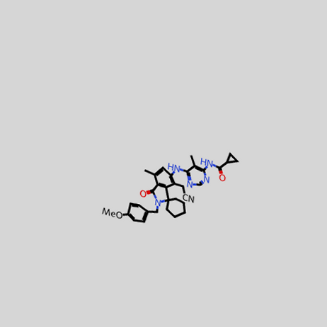 COc1ccc(CN2C(=O)c3c(C)cc(Nc4ncnc(NC(=O)C5CC5)c4C)c(CC#N)c3C23CCCCC3)cc1